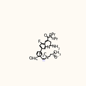 CCCN(CCC)C(=O)C1=Cc2c(F)cc(-c3ccc(C=O)c(/C=C\N(C)CC[S+](C)[O-])c3)cc2N=C(N)C1